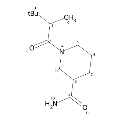 CC(C(=O)N1CCCC(C(N)=O)C1)C(C)(C)C